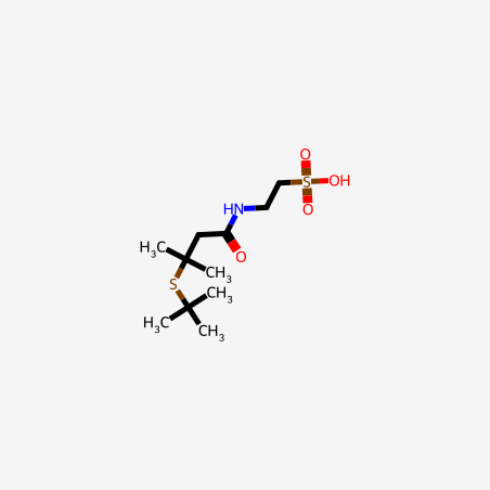 CC(C)(C)SC(C)(C)CC(=O)NCCS(=O)(=O)O